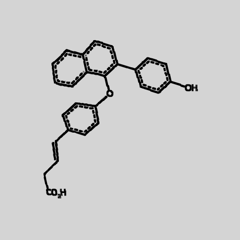 O=C(O)CC=Cc1ccc(Oc2c(-c3ccc(O)cc3)ccc3ccccc23)cc1